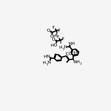 CCOC(=O)C(=C(C)C(N)c1cccc(C(=N)N)c1)c1ccc(C(=N)N)cc1.O=C(O)C(F)(F)F.O=C(O)C(F)(F)F